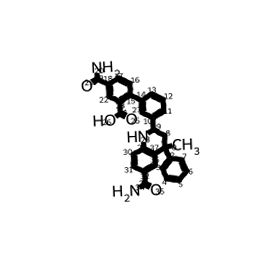 CC1(c2ccccc2)CC(c2cccc(-c3ccc(C(N)=O)cc3C(=O)O)c2)Nc2ccc(C(N)=O)cc21